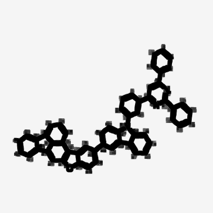 c1ccc(-c2cc(-c3cccc(-n4c5ccccc5c5cc(-c6ccc7oc8cc9c%10c(cccc%10c8c7c6)-c6ccccc6-9)ccc54)c3)nc(-c3ccccc3)n2)cc1